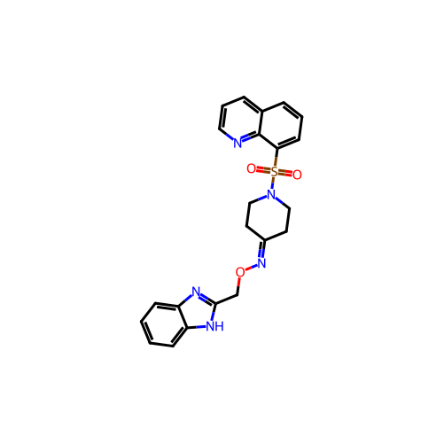 O=S(=O)(c1cccc2cccnc12)N1CCC(=NOCc2nc3ccccc3[nH]2)CC1